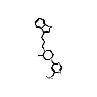 COc1cc(N2CCN(CCCc3c[nH]c4ccccc34)C(C)C2)ncn1